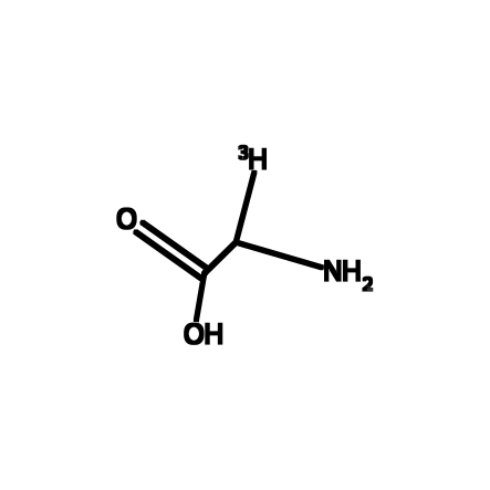 [3H]C(N)C(=O)O